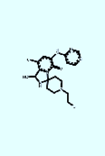 O=c1c(Nc2ccncn2)cc(Cl)c2n1C1(CCN(CCO)CC1)NC2O